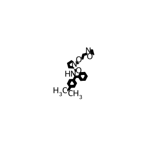 CC(C)c1ccc([C@@H](NC(=O)[C@@H]2CCCN2COCCc2ncco2)c2ccccc2)cc1